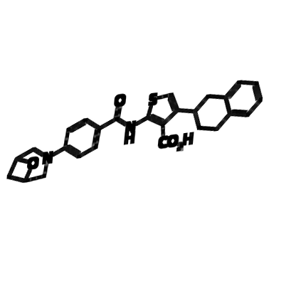 O=C(Nc1scc(C2CCc3ccccc3C2)c1C(=O)O)c1ccc(N2CC3CC(C2)O3)cc1